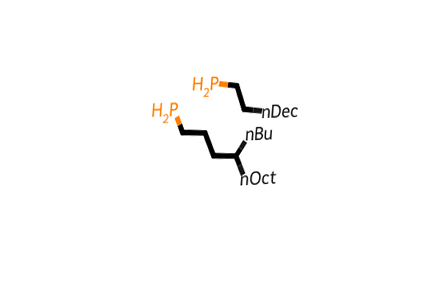 CCCCCCCCC(CCCC)CCCP.CCCCCCCCCCCCP